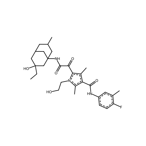 CCC1(O)CC2CC(C)CC(NC(=O)C(=O)c3c(C)c(C(=O)Nc4ccc(F)c(C)c4)c(C)n3CCO)(C2)C1